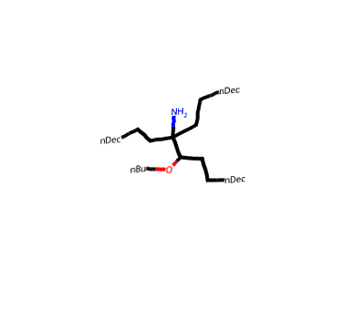 CCCCCCCCCCCCC(OCCCC)C(N)(CCCCCCCCCCCC)CCCCCCCCCCCC